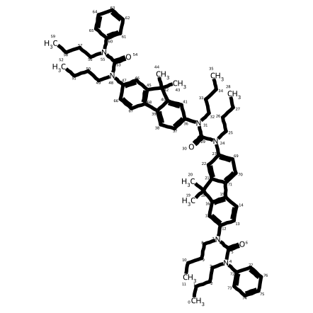 CCCCN(C(=O)N(CCCC)c1ccc2c(c1)C(C)(C)c1cc(N(CCCC)C(=O)N(CCCC)c3ccc4c(c3)C(C)(C)c3cc(N(CCCC)C(=O)N(CCCC)c5ccccc5)ccc3-4)ccc1-2)c1ccccc1